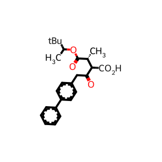 CC(OC(=O)[C@H](C)C(C(=O)O)C(=O)Cc1ccc(-c2ccccc2)cc1)C(C)(C)C